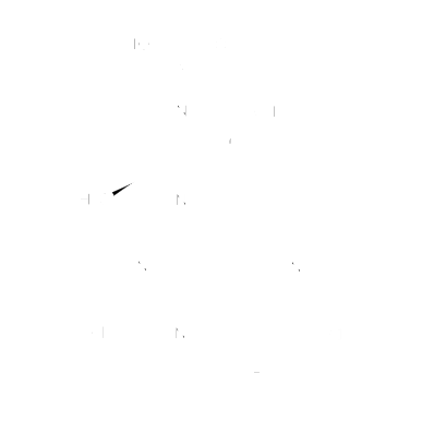 C[C@@H]1CN(c2nc(Cl)nc3c(F)c(Cl)ncc23)[C@@H](C)CN1C(=O)O